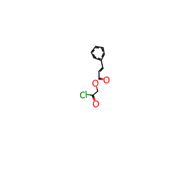 O=C(Cl)COC(=O)/C=C/c1ccccc1